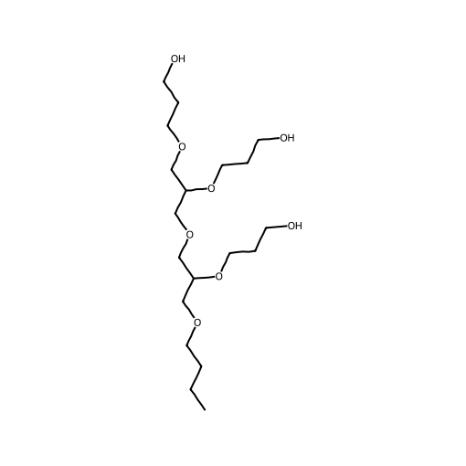 CCCCOCC(COCC(COCCCO)OCCCO)OCCCO